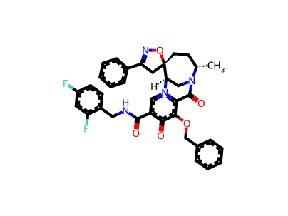 C[C@H]1CC[C@]2(CC(c3ccccc3)=NO2)[C@H]2CN1C(=O)c1c(OCc3ccccc3)c(=O)c(C(=O)NCc3ccc(F)cc3F)cn12